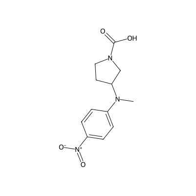 CN(c1ccc([N+](=O)[O-])cc1)C1CCN(C(=O)O)C1